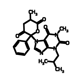 CC(C)Cn1c(=O)n(C)c(=O)c2c1ncn2C1(c2ccccc2)OC(=O)C(C)CC1=O